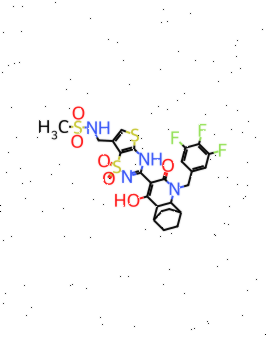 CS(=O)(=O)NCc1csc2c1S(=O)(=O)N=C(C1=C(O)C3C4CCC(CC4)C3N(Cc3cc(F)c(F)c(F)c3)C1=O)N2